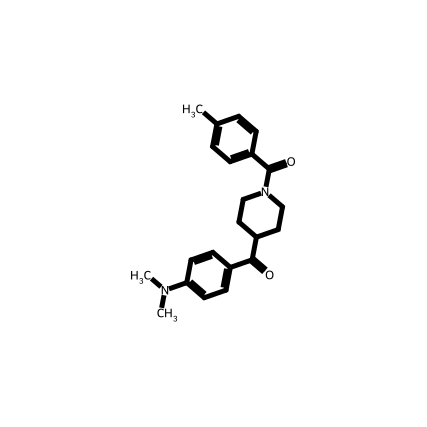 Cc1ccc(C(=O)N2CCC(C(=O)c3ccc(N(C)C)cc3)CC2)cc1